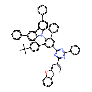 C/C=C(\C=C1/Cc2ccccc2O1)c1nc(-c2ccccc2)nc(-c2cc(-c3ccccc3)c(-n3c4ccc(-c5ccccc5)cc4c4cc(-c5ccccc5)ccc43)c(-c3ccc(C(C)(C)C)cc3)c2)n1